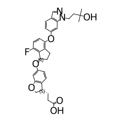 CC(C)(O)CCn1ncc2ccc(Oc3ccc(F)c4c3CC[C@H]4Oc3ccc4c(c3)OC[C@H]4CCC(=O)O)cc21